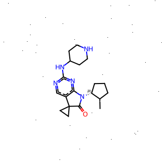 CC1CCC[C@H]1N1C(=O)C2(CC2)c2cnc(NC3CCNCC3)nc21